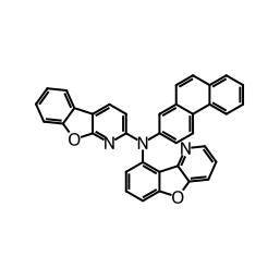 c1ccc2c(c1)ccc1cc(N(c3ccc4c(n3)oc3ccccc34)c3cccc4oc5cccnc5c34)ccc12